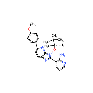 COc1ccc(-c2ccc3nc(-c4cccnc4N)n(O[Si](C)(C)C(C)(C)C)c3n2)cc1